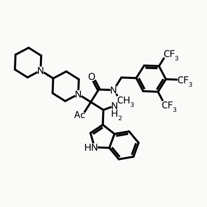 CC(=O)C(C(=O)N(C)Cc1cc(C(F)(F)F)c(C(F)(F)F)c(C(F)(F)F)c1)(C(N)c1c[nH]c2ccccc12)N1CCC(N2CCCCC2)CC1